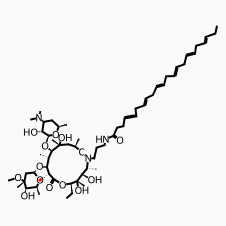 CCC=CCC=CCC=CCC=CCC=CCC=CCCC(=O)NCCCN1C[C@H](C)C[C@@](C)(O)[C@H](O[C@@H]2O[C@H](C)C[C@H](N(C)C)[C@H]2O)[C@@H](C)[C@H](O[C@H]2C[C@@](C)(OC)[C@@H](O)[C@H](C)O2)[C@@H](C)C(=O)O[C@H](CC)[C@@](C)(O)[C@H](O)[C@H]1C